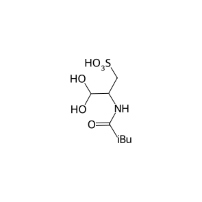 CCC(C)C(=O)NC(CS(=O)(=O)O)C(O)O